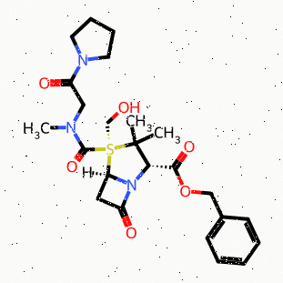 CN(CC(=O)N1CCCC1)C(=O)[S@]1(CO)[C@@H]2CC(=O)N2[C@@H](C(=O)OCc2ccccc2)C1(C)C